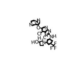 Cn1c(Nc2cc(N3CC[C@H](O)C3)cc(C(F)(F)F)c2)nc2ncc(Oc3cnn4ccncc34)c(Cl)c21